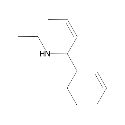 C/C=C\C(NCC)C1C=CC=CC1